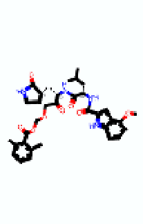 COc1cccc2[nH]c(C(=O)N[C@@H](CC(C)C)C(=O)N[C@@H](C[C@@H]3CCNC3=O)C(=O)COCOC(=O)c3c(C)cccc3C)cc12